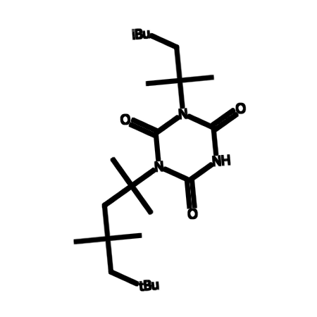 CCC(C)CC(C)(C)n1c(=O)[nH]c(=O)n(C(C)(C)CC(C)(C)CC(C)(C)C)c1=O